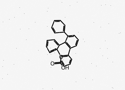 O=C(O)Oc1ccccc1-c1c(-c2ccccc2)cccc1-c1ccccc1